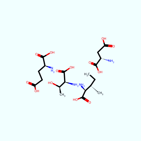 CC[C@H](C)[C@H](N)C(=O)O.C[C@@H](O)[C@H](N)C(=O)O.N[C@@H](CC(=O)O)C(=O)O.N[C@@H](CCC(=O)O)C(=O)O